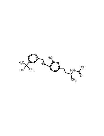 CC(CCc1ccc(NCc2cccc(C(C)(C)O)c2)c(O)c1)NC(=O)O